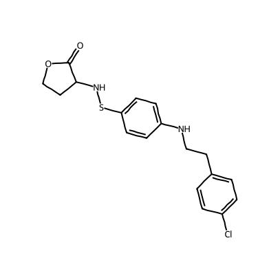 O=C1OCCC1NSc1ccc(NCCc2ccc(Cl)cc2)cc1